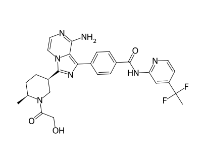 C[C@H]1CC[C@@H](c2nc(-c3ccc(C(=O)Nc4cc(C(C)(F)F)ccn4)cc3)c3c(N)nccn23)CN1C(=O)CO